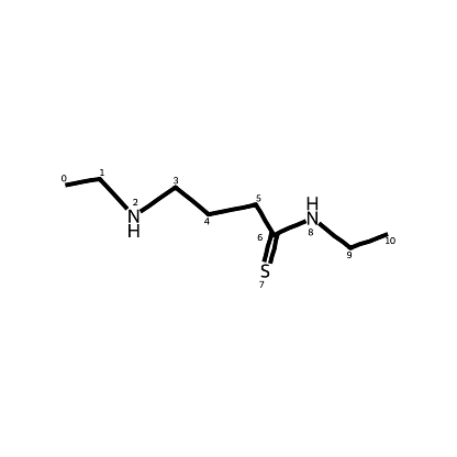 CCNCCCC(=S)NCC